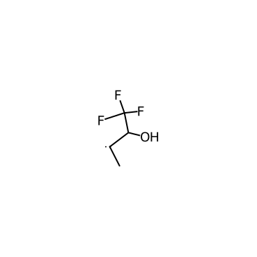 C[CH]C(O)C(F)(F)F